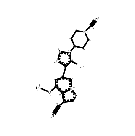 COc1cc(-c2nnn(C3CCN(C#N)CC3)c2C)cn2ncc(C#N)c12